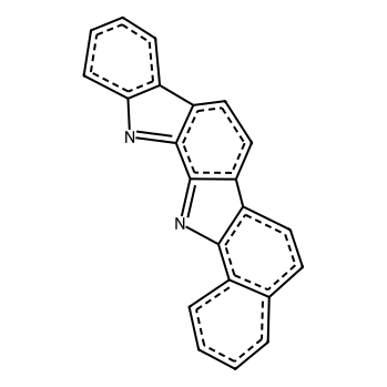 c1ccc2c(c1)N=c1c-2ccc2c1=Nc1c-2ccc2ccccc12